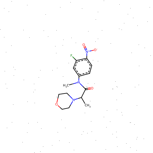 CC(C(=O)N(C)c1ccc([N+](=O)[O-])c(F)c1)N1CCOCC1